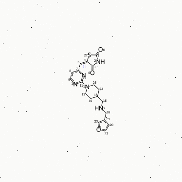 O=C1NC(=O)/C(=C\c2ccnc(N3CCC(CNCc4ccoc4)CC3)n2)S1